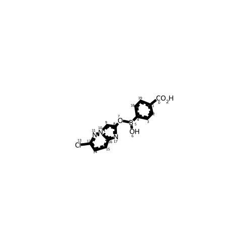 O=C(O)c1ccc(B(O)Oc2cn3nc(Cl)ccc3n2)cc1